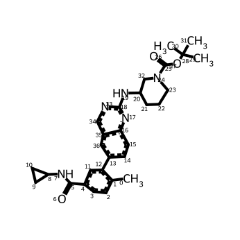 Cc1ccc(C(=O)NC2CC2)cc1-c1ccc2nc(NC3CCCN(C(=O)OC(C)(C)C)C3)ncc2c1